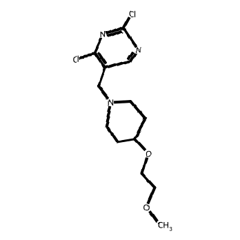 COCCOC1CCN(Cc2cnc(Cl)nc2Cl)CC1